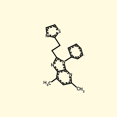 Cc1cc(C)c2nc(CCc3nccs3)n(-c3c[c]ccc3)c2n1